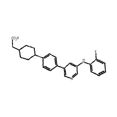 O=C(O)CC1CCC(c2ccc(-c3cncc(Nc4ccccc4F)c3)cc2)CC1